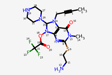 CC#CCN1c2c(nc(SCCN)n(C)c2=O)N(OC(=O)C(F)(F)F)C1N1CCNCC1